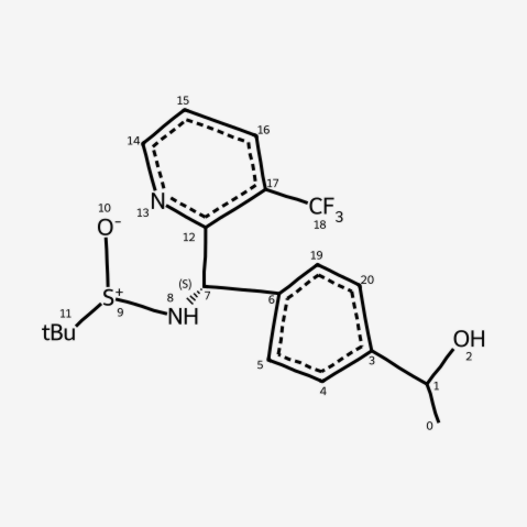 CC(O)c1ccc([C@H](N[S+]([O-])C(C)(C)C)c2ncccc2C(F)(F)F)cc1